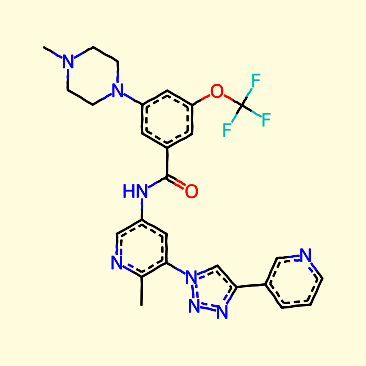 Cc1ncc(NC(=O)c2cc(OC(F)(F)F)cc(N3CCN(C)CC3)c2)cc1-n1cc(-c2cccnc2)nn1